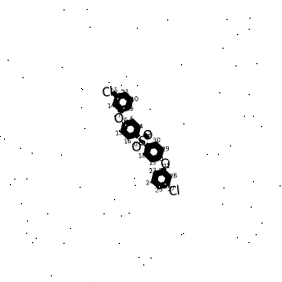 O=S(=O)(c1ccc(Oc2cccc(Cl)c2)cc1)c1ccc(Oc2cccc(Cl)c2)cc1